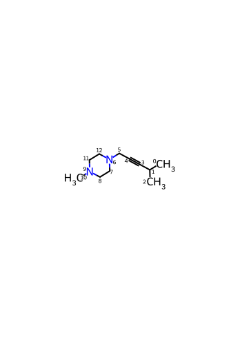 CC(C)C#CCN1CCN(C)CC1